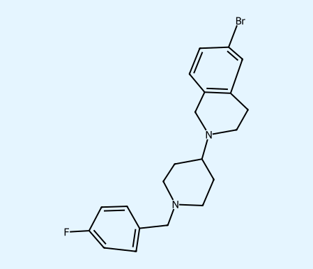 Fc1ccc(CN2CCC(N3CCc4cc(Br)ccc4C3)CC2)cc1